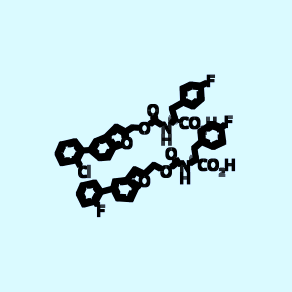 O=C(N[C@H](Cc1ccc(F)cc1)C(=O)O)OCc1cc2cc(-c3ccccc3Cl)ccc2o1.O=C(N[C@H](Cc1ccc(F)cc1)C(=O)O)OCc1cc2cc(-c3ccccc3F)ccc2o1